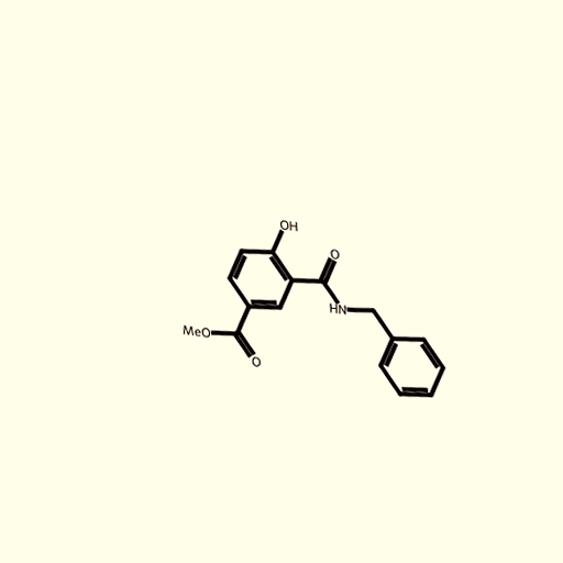 COC(=O)c1ccc(O)c(C(=O)NCc2ccccc2)c1